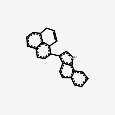 C1=Cc2c(-c3c[nH]c4c3ccc3ccccc34)ccc3cccc(c23)C1